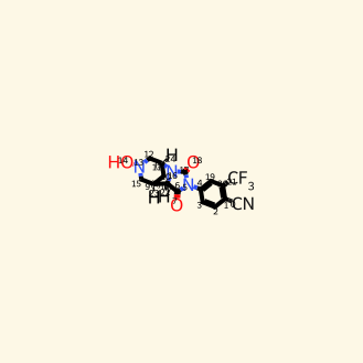 N#Cc1ccc(N2C(=O)[C@H]3[C@@H]4C[C@@H](CN(O)C4)N3C2=O)cc1C(F)(F)F